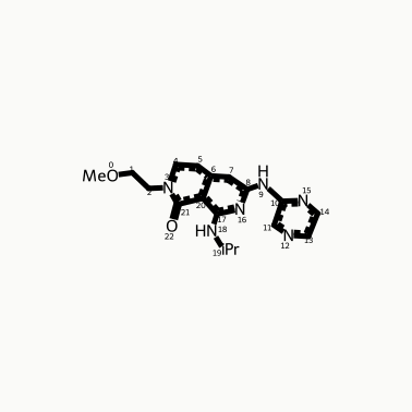 COCCn1ccc2cc(Nc3cnccn3)nc(NC(C)C)c2c1=O